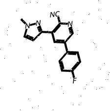 Cn1ccc(-c2cc(-c3ccc(F)cc3)cnc2C#N)n1